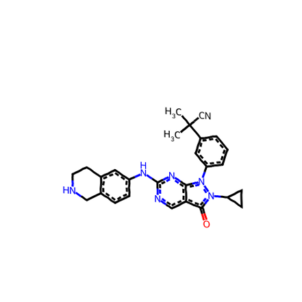 CC(C)(C#N)c1cccc(-n2c3nc(Nc4ccc5c(c4)CCNC5)ncc3c(=O)n2C2CC2)c1